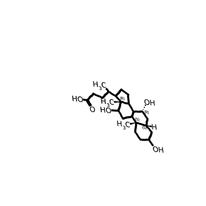 CC(CCC(=O)O)C1CCC2C3C(CC(O)[C@]12C)[C@@]1(C)CCC(O)C[C@H]1C[C@H]3O